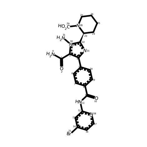 NC(=O)c1c(-c2ccc(C(=O)Nc3cc(Br)ccn3)cc2)nc([C@@H]2CCCCN2C(=O)O)n1N